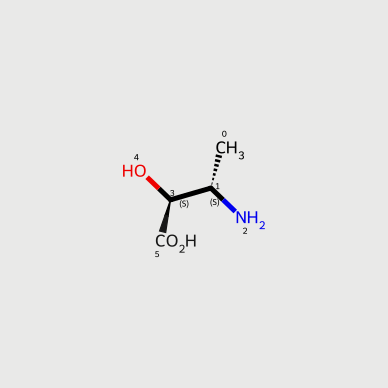 C[C@H](N)[C@H](O)C(=O)O